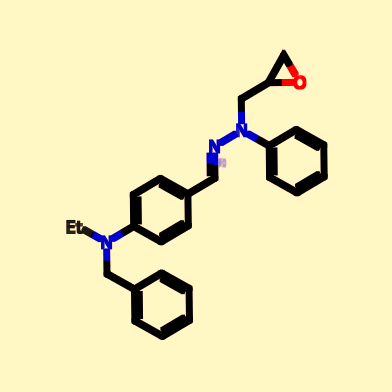 CCN(Cc1ccccc1)c1ccc(/C=N/N(CC2CO2)c2ccccc2)cc1